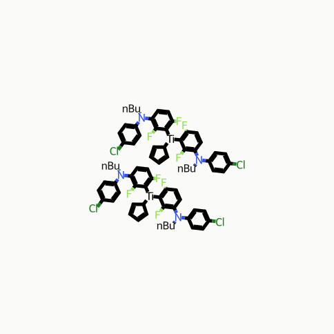 CCCCN(c1ccc(Cl)cc1)c1ccc(F)[c]([Ti]([c]2c(F)ccc(N(CCCC)c3ccc(Cl)cc3)c2F)[CH]2C=CC=C2)c1F.CCCCN(c1ccc(Cl)cc1)c1ccc(F)[c]([Ti]([c]2c(F)ccc(N(CCCC)c3ccc(Cl)cc3)c2F)[CH]2C=CC=C2)c1F